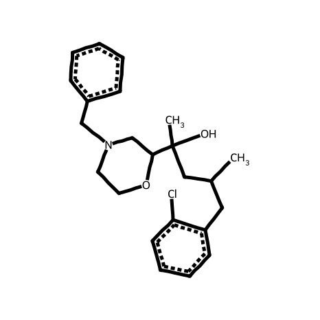 CC(Cc1ccccc1Cl)CC(C)(O)C1CN(Cc2ccccc2)CCO1